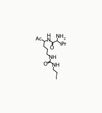 CC(=O)C(CCCNC(=O)NCCI)NC(=O)C(N)C(C)C